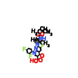 C[C@@H]1N(c2nc3c(cc2F)c(=O)c(C(=O)O)cn3-c2ccc(F)cc2F)C[C@H]2C[C@]21NC(=O)OC(C)(C)C